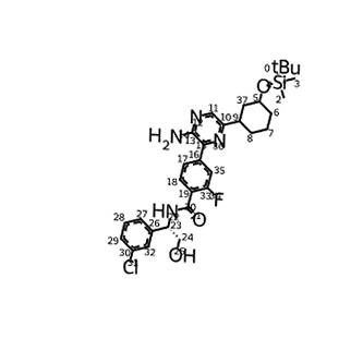 CC(C)(C)[Si](C)(C)OC1CCCC(c2cnc(N)c(-c3ccc(C(=O)N[C@H](CO)c4cccc(Cl)c4)c(F)c3)n2)C1